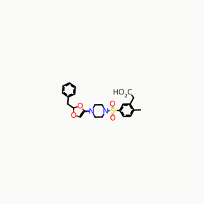 Cc1ccc(S(=O)(=O)N2CCN(C3=COC(Cc4ccccc4)O3)CC2)cc1CC(=O)O